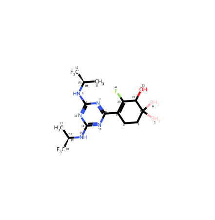 BC1(B)CCC(c2nc(N[C@H](C)C(F)(F)F)nc(N[C@H](C)C(F)(F)F)n2)=C(F)C1O